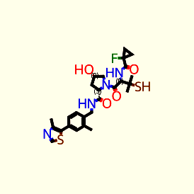 Cc1cc(-c2scnc2C)ccc1CNC(=O)[C@@H]1C[C@@H](O)CN1C(=O)[C@@H](NC(=O)C1(F)CC1)C(C)(C)S